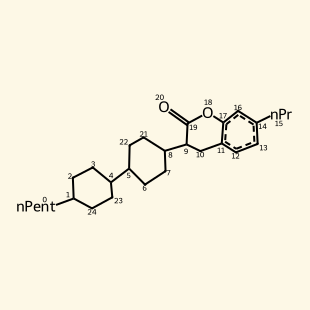 CCCCCC1CCC(C2CCC(C3Cc4ccc(CCC)cc4OC3=O)CC2)CC1